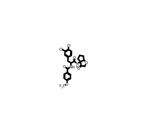 O=C(NC(Cc1ccc(Cl)c(Cl)c1)C(=O)NC12CCCC1OCC2=O)c1ccc(OC(F)(F)F)cc1